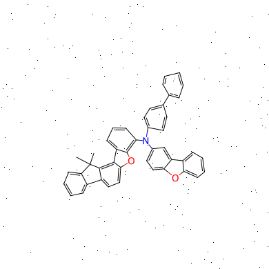 CC1(C)c2ccccc2-c2ccc3oc4c(N(c5ccc(-c6ccccc6)cc5)c5ccc6oc7ccccc7c6c5)cccc4c3c21